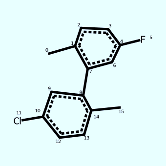 Cc1ccc(F)cc1-c1cc(Cl)ccc1C